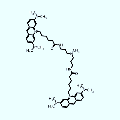 CN(CCCNC(=O)CCCCC[n+]1c2cc(N(C)C)ccc2cc2ccc(N(C)C)cc21)CCCNC(=O)CCCCC[n+]1c2cc(N(C)C)ccc2cc2ccc(N(C)C)cc21